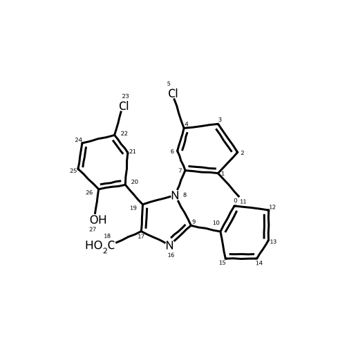 Cc1ccc(Cl)cc1-n1c(-c2ccccc2)nc(C(=O)O)c1-c1cc(Cl)ccc1O